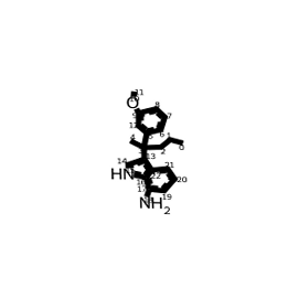 CCCC(C)(c1cccc(OC)c1)c1c[nH]c2c(N)cccc12